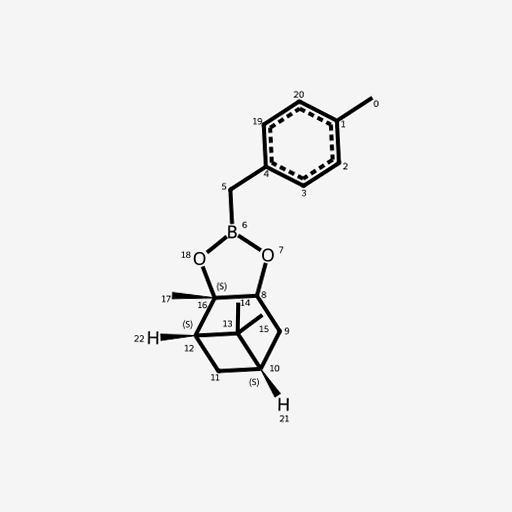 Cc1ccc(CB2OC3C[C@@H]4C[C@@H](C4(C)C)[C@]3(C)O2)cc1